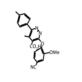 COc1cc(C#N)ccc1Oc1nnc(-c2ccc(C)cc2)c(C)c1C(=O)O